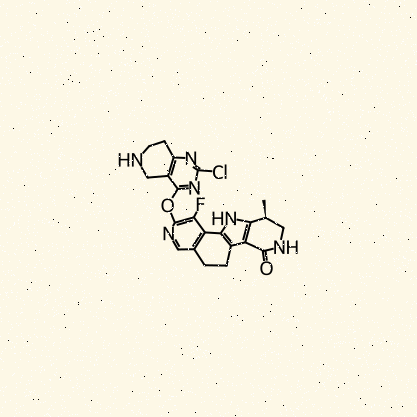 C[C@H]1CNC(=O)c2c1[nH]c1c2CCc2cnc(Oc3nc(Cl)nc4c3CNCC4)c(F)c2-1